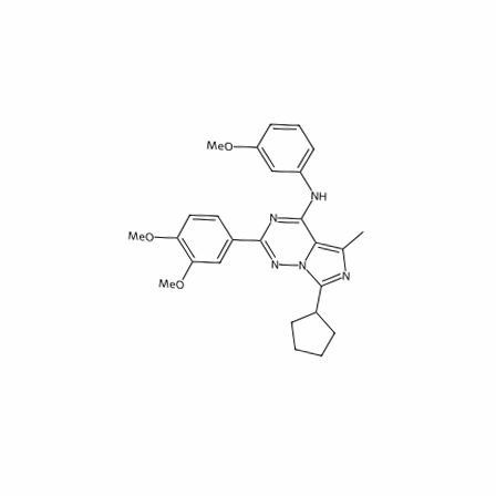 COc1cccc(Nc2nc(-c3ccc(OC)c(OC)c3)nn3c(C4CCCC4)nc(C)c23)c1